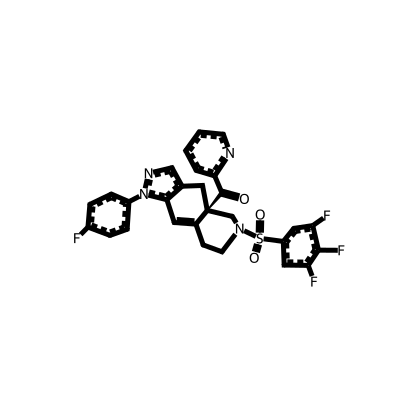 O=C(c1ccccn1)[C@]12Cc3cnn(-c4ccc(F)cc4)c3C=C1CCN(S(=O)(=O)c1cc(F)c(F)c(F)c1)C2